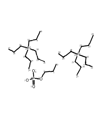 CCCOP(=O)([O-])[O-].CCC[P+](CCC)(CCC)CCC.CCC[P+](CCC)(CCC)CCC